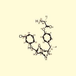 C[C@@H](c1ccc(OC(=O)[C@@H](C)N)cc1)c1nnc2sc(Nc3cccc(Cl)c3)nn12